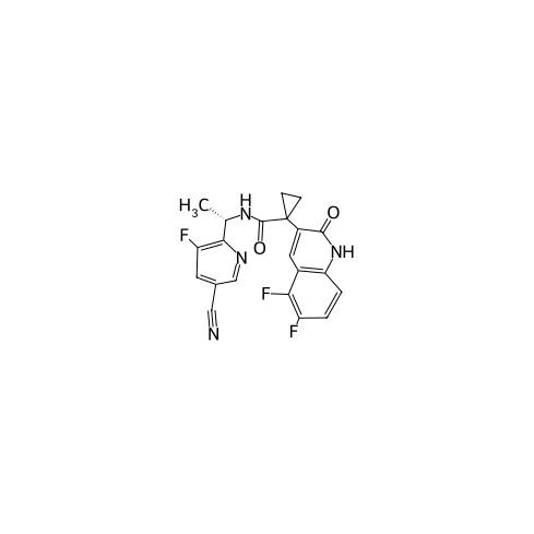 C[C@H](NC(=O)C1(c2cc3c(F)c(F)ccc3[nH]c2=O)CC1)c1ncc(C#N)cc1F